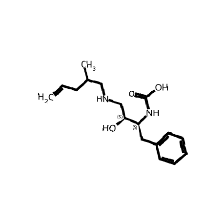 C=CCC(C)CNC[C@H](O)[C@H](Cc1ccccc1)NC(=O)O